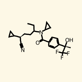 CCC(CC[C@@H](C#N)C1CC1)N(C(=O)c1ccc([C@](C)(O)C(F)(F)F)cc1)C1CC1